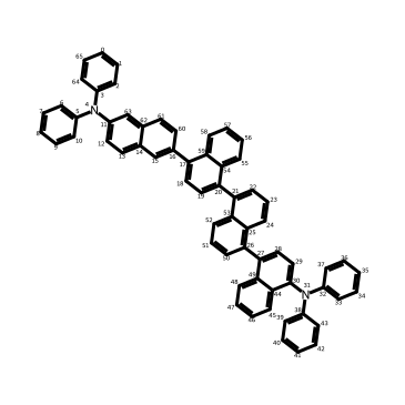 c1ccc(N(c2ccccc2)c2ccc3cc(-c4ccc(-c5cccc6c(-c7ccc(N(c8ccccc8)c8ccccc8)c8ccccc78)cccc56)c5ccccc45)ccc3c2)cc1